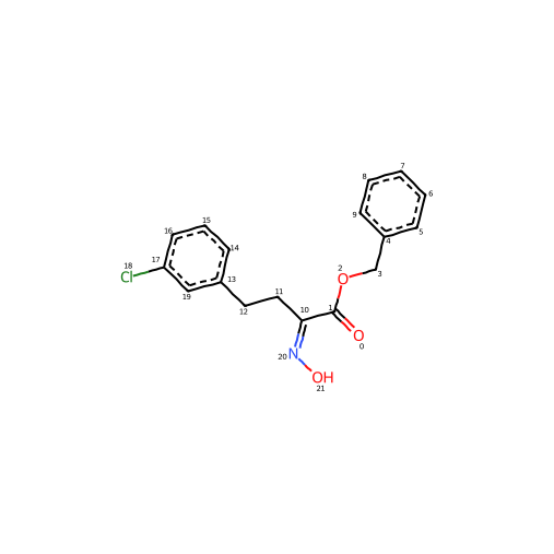 O=C(OCc1ccccc1)/C(CCc1cccc(Cl)c1)=N\O